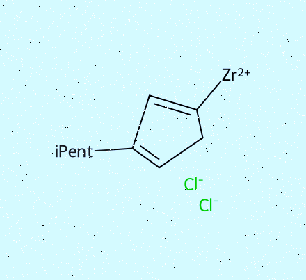 CCCC(C)C1=CC[C]([Zr+2])=C1.[Cl-].[Cl-]